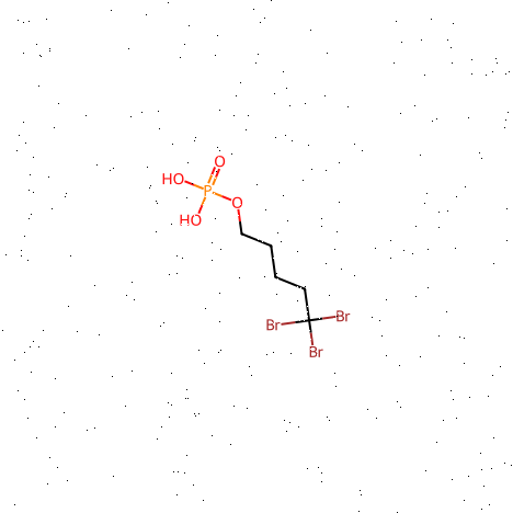 O=P(O)(O)OCCCCC(Br)(Br)Br